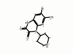 N#Cc1nc2c(cc1Br)[nH]c(=O)c(=O)n2C1CCNCC1